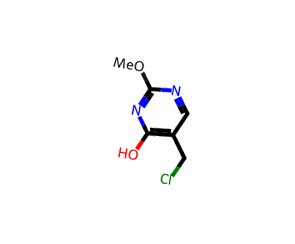 COc1ncc(CCl)c(O)n1